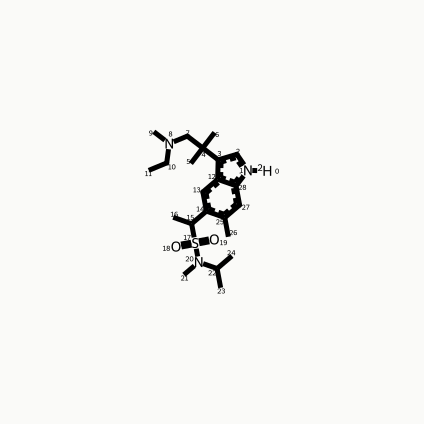 [2H]n1cc(C(C)(C)CN(C)CC)c2cc(C(C)S(=O)(=O)N(C)C(C)C)c(C)cc21